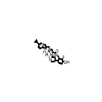 N/C(=C\N(N)Cc1cn2cc(C3CC3)ccc2n1)C(=O)NCc1c(-c2ccncc2)ccc(O)c1F